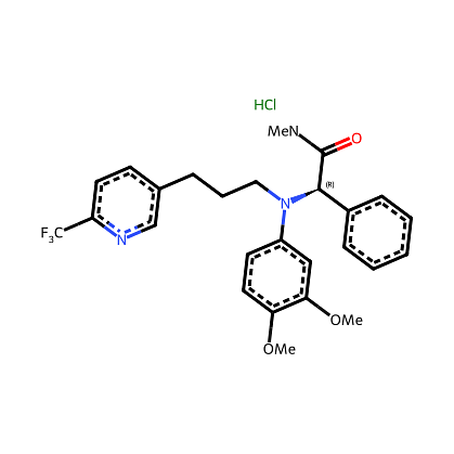 CNC(=O)[C@@H](c1ccccc1)N(CCCc1ccc(C(F)(F)F)nc1)c1ccc(OC)c(OC)c1.Cl